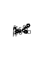 C[As](C(=O)c1cc(C(F)(F)F)cc(C(F)(F)F)c1)[C@@H](C=CC(=O)NC1CCCCC1)Cc1ccc(Cl)cc1